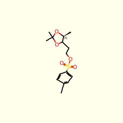 Cc1ccc(S(=O)(=O)OCCC2OC(C)(C)O[C@H]2C)cc1